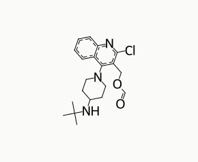 CC(C)(C)NC1CCN(c2c(COC=O)c(Cl)nc3ccccc23)CC1